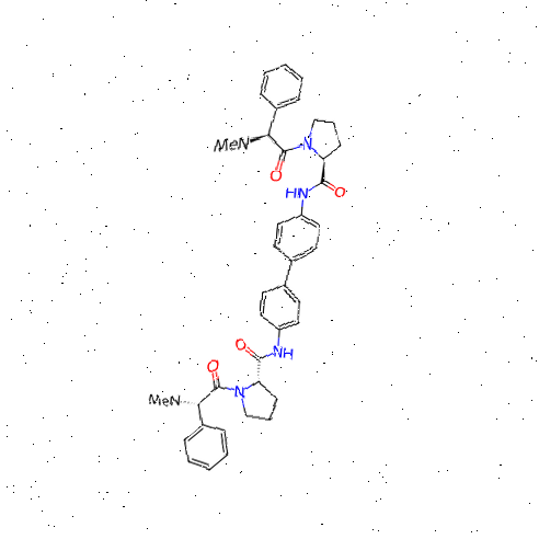 CN[C@H](C(=O)N1CCC[C@H]1C(=O)Nc1ccc(-c2ccc(NC(=O)[C@@H]3CCCN3C(=O)[C@@H](NC)c3ccccc3)cc2)cc1)c1ccccc1